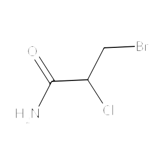 NC(=O)C(Cl)CBr